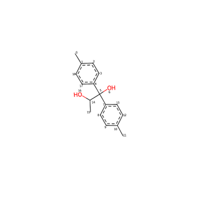 Cc1ccc(C(O)(c2ccc(C)cc2)C(C)O)cc1